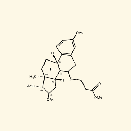 COC(=O)CCSC1Cc2cc(OC(C)=O)ccc2[C@H]2CC[C@@]3(C)[C@@H](C[C@@H](OC(C)=O)[C@@H]3OC(C)=O)[C@H]12